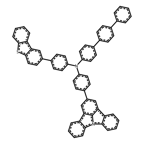 c1ccc(-c2ccc(-c3ccc(N(c4ccc(-c5ccc6sc7ccccc7c6c5)cc4)c4ccc(-c5cc6c7ccccc7n7c8ccccc8c(c5)c67)cc4)cc3)cc2)cc1